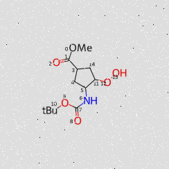 COC(=O)C1CC(NC(=O)OC(C)(C)C)C(OO)C1